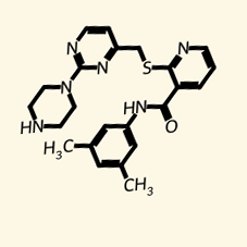 Cc1cc(C)cc(NC(=O)c2cccnc2SCc2ccnc(N3CCNCC3)n2)c1